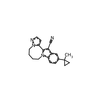 CC1(c2ccc3c(c2)c(C#N)c2n3CCCCn3nccc3-2)CC1